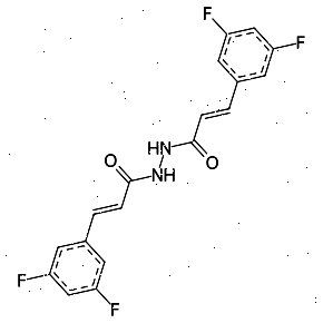 O=C(/C=C/c1cc(F)cc(F)c1)NNC(=O)/C=C/c1cc(F)cc(F)c1